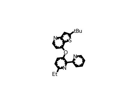 CCc1ccc(Oc2ccnc3cc(C(C)(C)C)sc23)c(-c2ccccn2)n1